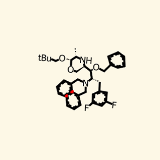 C[C@@H]1N[C@@H]([C@@H](OCc2ccccc2)[C@H](Cc2cc(F)cc(F)c2)N(Cc2ccccc2)Cc2ccccc2)CO[C@@H]1OCC(C)(C)C